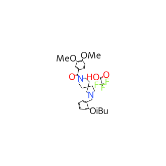 COc1ccc(C(=O)N2CCC3(CCN(Cc4ccccc4OCC(C)C)C3)CC2)cc1OC.O=C(O)C(F)(F)F